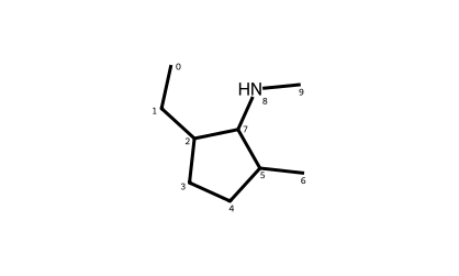 CCC1CCC(C)C1NC